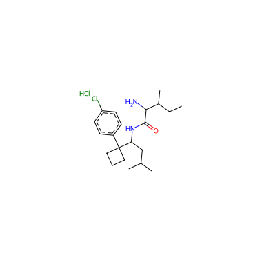 CCC(C)C(N)C(=O)NC(CC(C)C)C1(c2ccc(Cl)cc2)CCC1.Cl